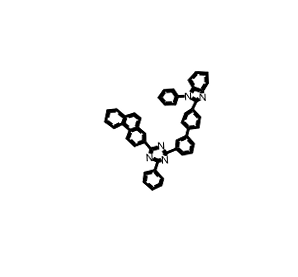 c1ccc(-c2nc(-c3cccc(-c4ccc(-c5nc6ccccc6n5-c5ccccc5)cc4)c3)nc(-c3ccc4c(ccc5ccccc54)c3)n2)cc1